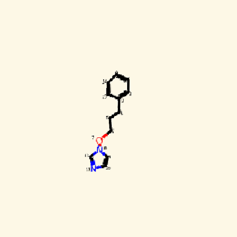 c1ccc(CCCOn2ccnc2)cc1